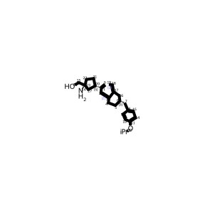 C=C(/C=C1/CC[C@@H](Cc2ccc(OC(C)C)cc2)C/C1=C/C)[C@H]1CC[C@](N)(CO)C1